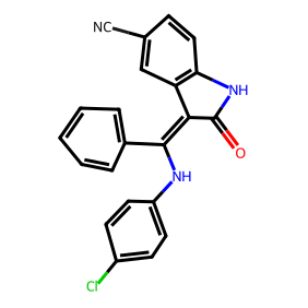 N#Cc1ccc2c(c1)/C(=C(/Nc1ccc(Cl)cc1)c1ccccc1)C(=O)N2